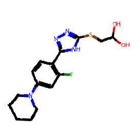 OC(O)CSc1nnc(-c2ccc(N3CCCCC3)cc2F)[nH]1